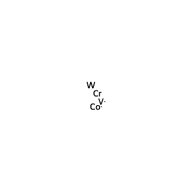 [Co].[Cr].[V].[W]